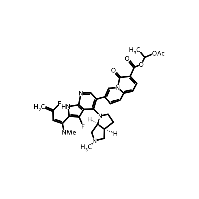 C=C(F)/C=C(/NC)c1[nH]c2ncc(-c3ccc4ccc(C(=O)OC(C)OC(C)=O)c(=O)n4c3)c(N3CC[C@H]4CN(C)C[C@H]43)c2c1F